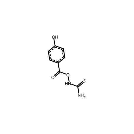 NC(=S)NOC(=O)c1ccc(O)cc1